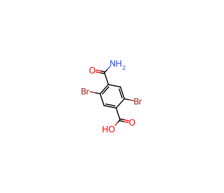 NC(=O)c1cc(Br)c(C(=O)O)cc1Br